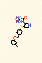 Cc1cccc(OCc2ccc(Sc3ccncc3C3NC(=O)NC3=O)cc2)c1